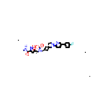 CNC(=O)c1cc(CN(CC2CC3(CCN(c4ccc(-c5ccc(F)cc5)cn4)C3)C2)C(=O)O)on1